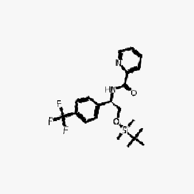 CC(C)(C)[Si](C)(C)OC[C@H](NC(=O)c1ccccn1)c1ccc(C(F)(F)F)cc1